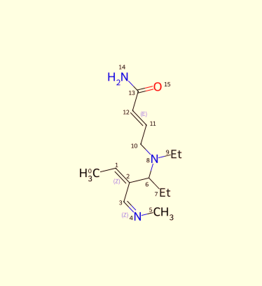 C/C=C(\C=N/C)C(CC)N(CC)C/C=C/C(N)=O